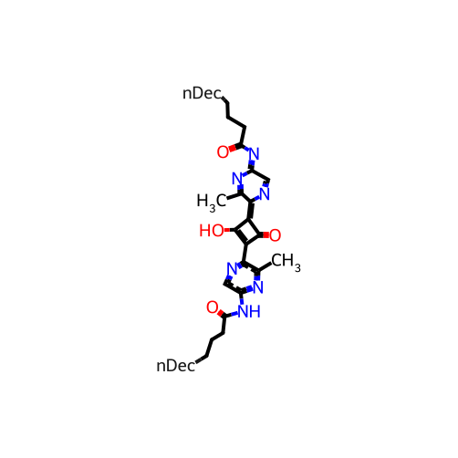 CCCCCCCCCCCCCC(=O)/N=C1C=N/C(=C2\C(=O)C(c3ncc(NC(=O)CCCCCCCCCCCCC)nc3C)=C2O)C(C)=N/1